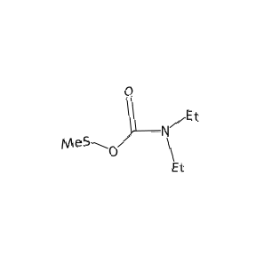 CCN(CC)C(=O)OSC